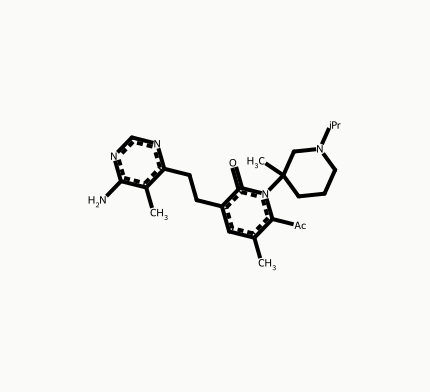 CC(=O)c1c(C)cc(CCc2ncnc(N)c2C)c(=O)n1C1(C)CCCN(C(C)C)C1